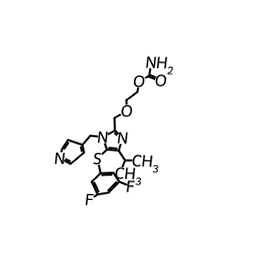 CC(C)c1nc(COCCOC(N)=O)n(Cc2ccncc2)c1Sc1cc(F)cc(F)c1